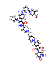 CO[C@@H]1CCN(c2nccc(Nc3cc4c(cn3)c(C(=O)NC3CCN(CCC5CCN(c6ccc7c(c6)C(=O)N(C6CCC(=O)NC6=O)C7=O)CC5)CC3)cn4C3CCCC3)n2)C[C@@H]1F